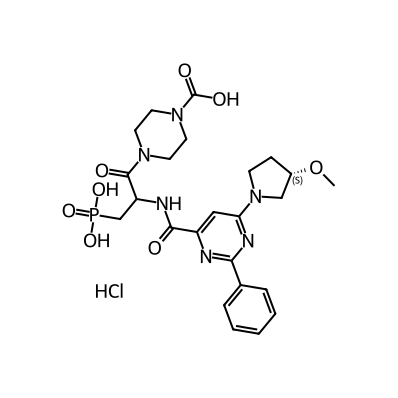 CO[C@H]1CCN(c2cc(C(=O)NC(CP(=O)(O)O)C(=O)N3CCN(C(=O)O)CC3)nc(-c3ccccc3)n2)C1.Cl